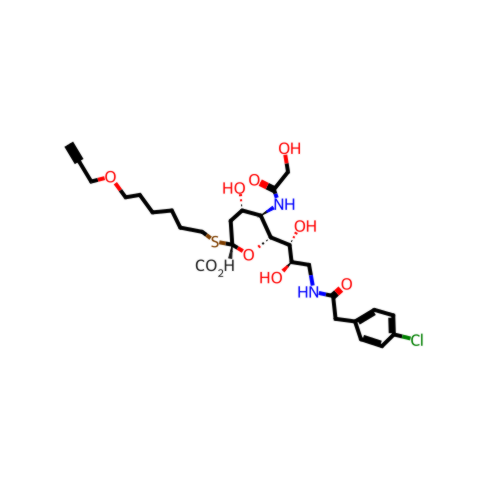 C#CCOCCCCCCS[C@]1(C(=O)O)C[C@H](O)[C@@H](NC(=O)CO)[C@H]([C@H](O)[C@H](O)CNC(=O)Cc2ccc(Cl)cc2)O1